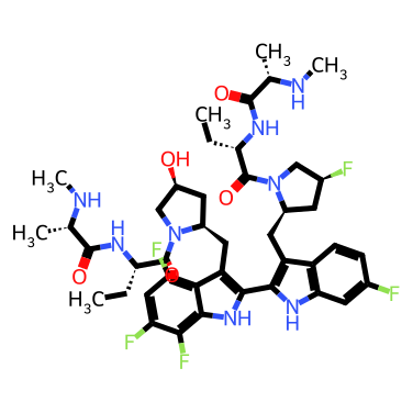 CC[C@H](NC(=O)[C@H](C)NC)C(=O)N1C[C@@H](O)C[C@H]1Cc1c(-c2[nH]c3cc(F)ccc3c2C[C@@H]2C[C@H](F)CN2C(=O)[C@H](CC)NC(=O)[C@H](C)NC)[nH]c2c(F)c(F)cc(F)c12